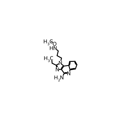 CCc1nc2c(N)nc3ccccc3c2n1CCCNOC